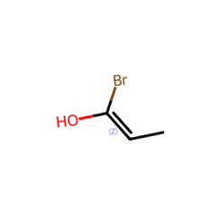 C/C=C(/O)Br